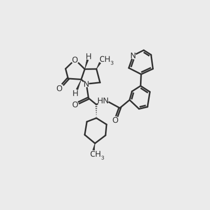 C[C@H]1CN(C(=O)C(NC(=O)c2cccc(-c3cccnc3)c2)[C@H]2CC[C@H](C)CC2)[C@@H]2C(=O)CO[C@@H]21